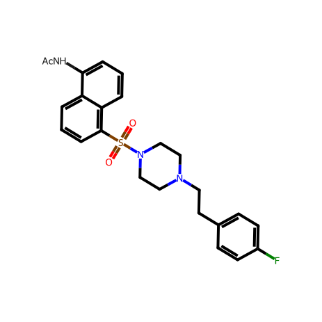 CC(=O)Nc1cccc2c(S(=O)(=O)N3CCN(CCc4ccc(F)cc4)CC3)cccc12